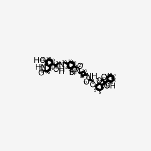 O=C(COc1cccc([C@](O)(C(=O)O)c2ccccc2)c1)N[C@H]1C[C@H](NC(=O)c2ccc(CNC[C@H](O)c3ccc(O)c4[nH]c(=O)ccc34)cc2Br)C1